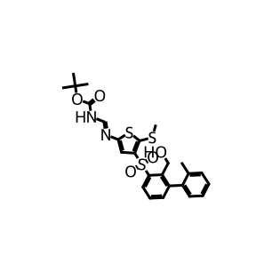 CSc1sc(/N=C/NC(=O)OC(C)(C)C)cc1S(=O)(=O)c1cccc(-c2ccccc2C)c1CO